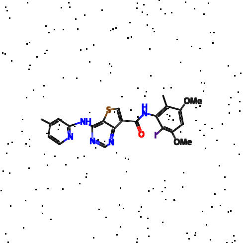 COc1cc(OC)c(I)c(NC(=O)c2csc3c(Nc4cc(C)ccn4)ncnc23)c1C